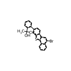 CC(C)(O)c1ccccc1-c1ccc2c(c1)sc1c3ccccc3c(Br)cc21